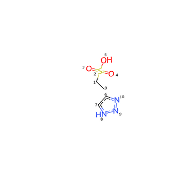 CCS(=O)(=O)O.c1c[nH]nn1